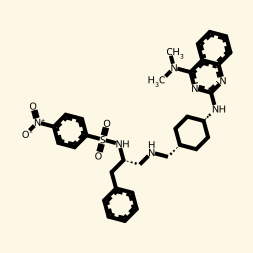 CN(C)c1nc(N[C@H]2CC[C@@H](CNC[C@H](Cc3ccccc3)NS(=O)(=O)c3ccc([N+](=O)[O-])cc3)CC2)nc2ccccc12